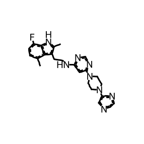 Cc1[nH]c2c(F)ccc(C)c2c1CCNc1cc(N2CCN(c3cnccn3)CC2)ncn1